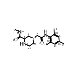 CNC(=O)C1CN(CC(=O)Nc2c(C)cc(C)cc2C)CCN1